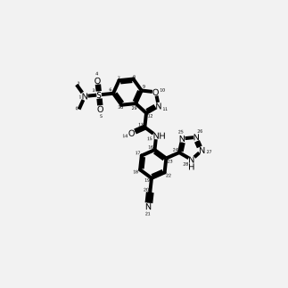 CN(C)S(=O)(=O)c1ccc2onc(C(=O)Nc3ccc(C#N)cc3-c3nnn[nH]3)c2c1